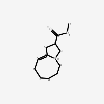 COC(=O)C1CC2=CCCCCCN2C1